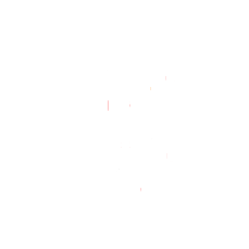 CCC(=O)OC1OCCC1P(=O)(O)Cc1ccccc1